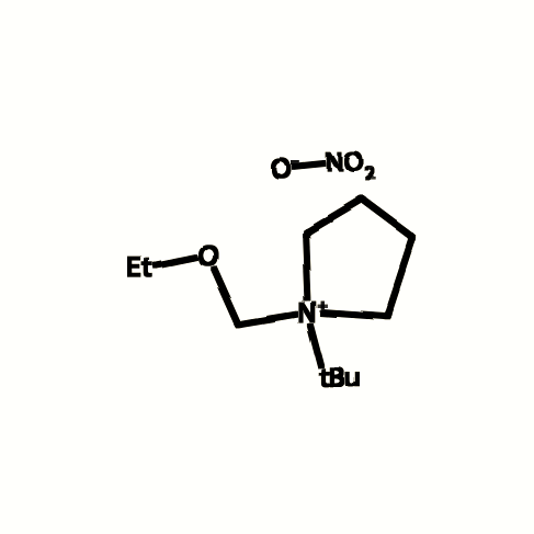 CCOC[N+]1(C(C)(C)C)CCCC1.O=[N+]([O-])[O-]